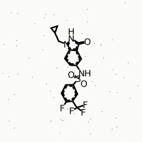 O=c1[nH]n(CC2CC2)c2ccc(NS(=O)(=O)c3ccc(F)c(C(F)(F)F)c3)cc12